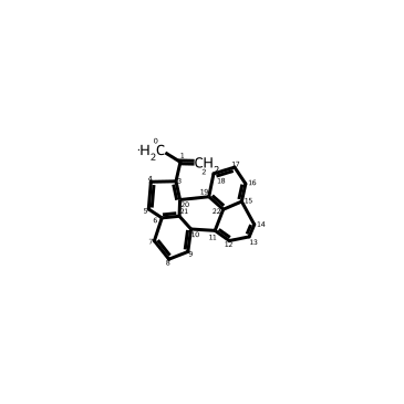 [CH2]C(=C)c1ccc2cccc3c4cccc5cccc(c1c23)c54